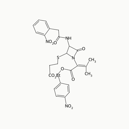 CCOC(=O)CCSC1C(NC(=O)Cc2ccccc2[N+](=O)[O-])C(=O)N1C(C(=O)OCc1ccc([N+](=O)[O-])cc1)=C(C)C